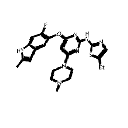 CCc1cnc(Nc2nc(Oc3cc4cc(C)[nH]c4cc3F)cc(N3CCN(C)CC3)n2)s1